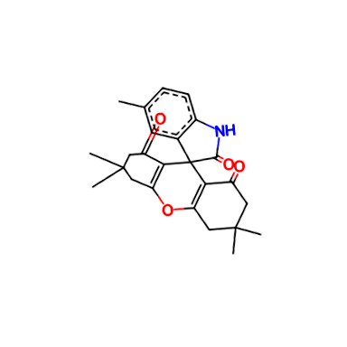 Cc1ccc2c(c1)C1(C(=O)N2)C2=C(CC(C)(C)CC2=O)OC2=C1C(=O)CC(C)(C)C2